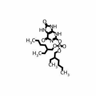 CCCCC(CC)COP(=O)(OCC(CC)CCCC)Oc1nc(=O)c2[nH]c(=O)[nH]c2[nH]1